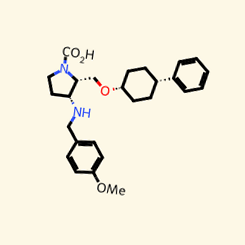 COc1ccc(CN[C@@H]2CCN(C(=O)O)[C@@H]2CO[C@H]2CC[C@@H](c3ccccc3)CC2)cc1